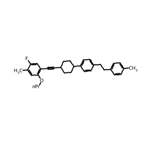 CCCOc1cc(C)c(F)cc1C#CC1CCC(c2ccc(CCc3ccc(C)cc3)cc2)CC1